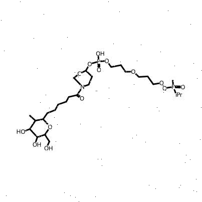 CC1C(CCCCCC(=O)N2CCC(OP(=O)(O)OCCCOCCCOOP(C)(=O)C(C)C)CC2)OC(CO)C(O)C1O